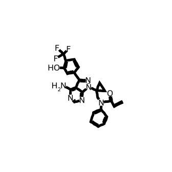 C=CC(=O)N(CC1(n2nc(-c3ccc(C(F)(F)F)c(O)c3)c3c(N)ncnc32)CC1)c1ccccc1